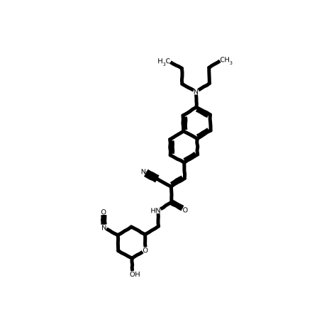 CCCN(CCC)c1ccc2cc(/C=C(\C#N)C(=O)NCC3CC(N=O)CC(O)O3)ccc2c1